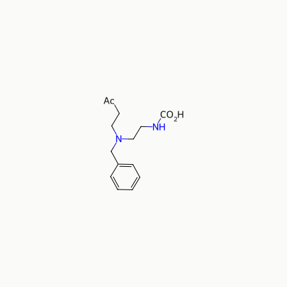 CC(=O)CCN(CCNC(=O)O)Cc1ccccc1